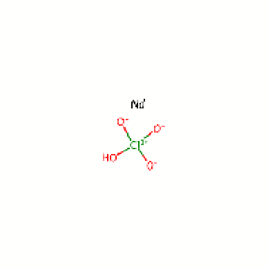 [Nd].[O-][Cl+3]([O-])([O-])O